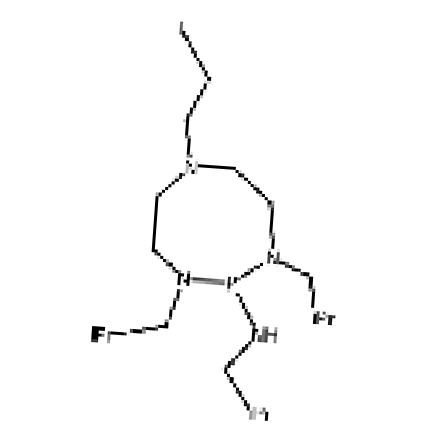 CC(C)CNP1N(CC(C)C)CCN(CCI)CCN1CC(C)C